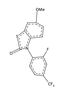 COc1ccc2c(c1)sc(=O)n2-c1ccc(C(F)(F)F)cc1F